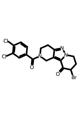 O=C1c2c3c(nn2CCC1Br)CCN(C(=O)c1ccc(Cl)c(Cl)c1)C3